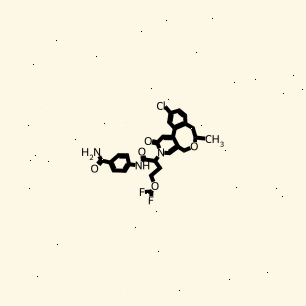 CC1Cc2ccc(Cl)cc2-c2cc(=O)n(C(CCOC(F)F)C(=O)Nc3ccc(C(N)=O)cc3)cc2CO1